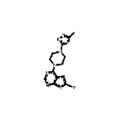 Cc1nnc(N2CCN(c3ncnc4sc(C(C)C)cc34)CC2)s1